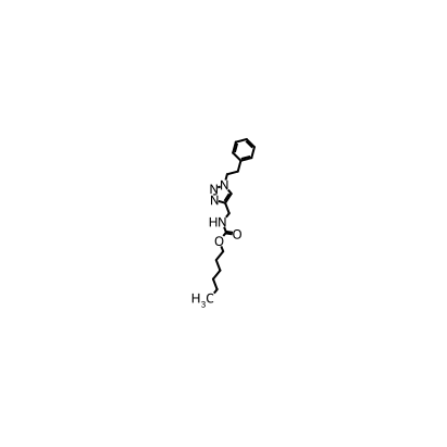 CCCCCCOC(=O)NCc1cn(CCc2ccccc2)nn1